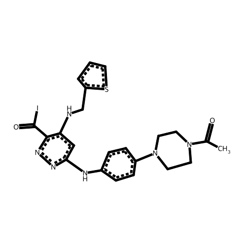 CC(=O)N1CCN(c2ccc(Nc3cc(NCc4cccs4)c(C(=O)I)nn3)cc2)CC1